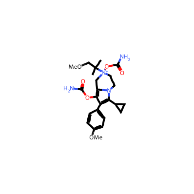 COCC(C)(C)[N+]1(OC(N)=O)CCn2c(c(OC(N)=O)c(-c3ccc(OC)cc3)c2C2CC2)C1